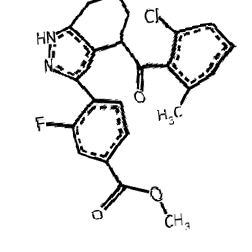 COC(=O)c1ccc(-c2n[nH]c3c2C(C(=O)c2c(C)cccc2Cl)CCC3)c(F)c1